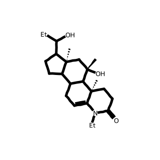 CCC(O)C1CCC2C3CC=C4N(CC)C(=O)CC[C@]4(C)C3[C@@](C)(O)C[C@]12C